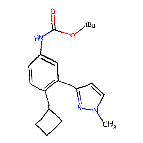 Cn1ccc(-c2cc(NC(=O)OC(C)(C)C)ccc2C2CCC2)n1